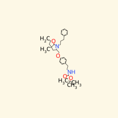 C=CCC1(C)CC(COc2ccc(CCNC(=O)OC(C)(C)C)cc2)N(CCCc2ccccc2)C1=O